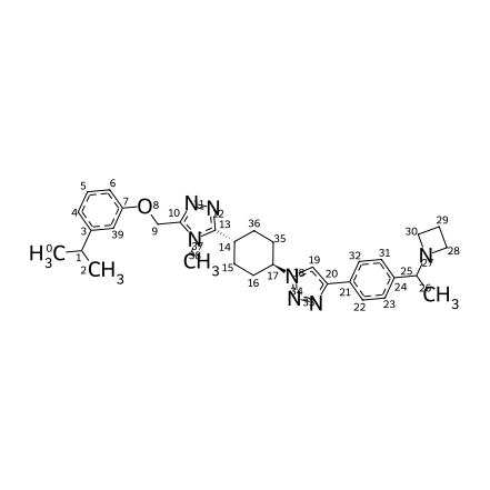 CC(C)c1cccc(OCc2nnc([C@H]3CC[C@H](n4cc(-c5ccc(C(C)N6CCC6)cc5)nn4)CC3)n2C)c1